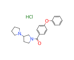 Cl.O=C(c1ccc(Oc2ccccc2)cc1)N1CCC(N2CCCC2)C1